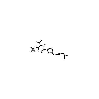 CC(C)[C@@H](C(=O)OC(C)(C)C)N(C)C(=O)[C@H]1CCN(CC#CCN(C)C)C1